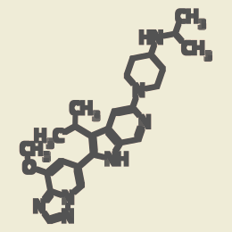 COc1cc(-c2[nH]c3cnc(N4CCC(NC(C)C)CC4)cc3c2C(C)C)cn2ncnc12